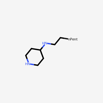 CCCCCCCNC1CCNCC1